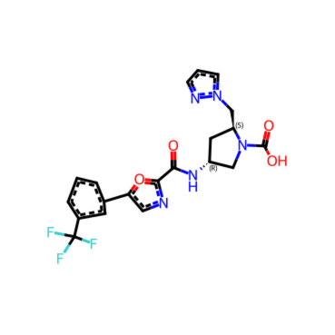 O=C(N[C@@H]1C[C@@H](Cn2cccn2)N(C(=O)O)C1)c1ncc(-c2cccc(C(F)(F)F)c2)o1